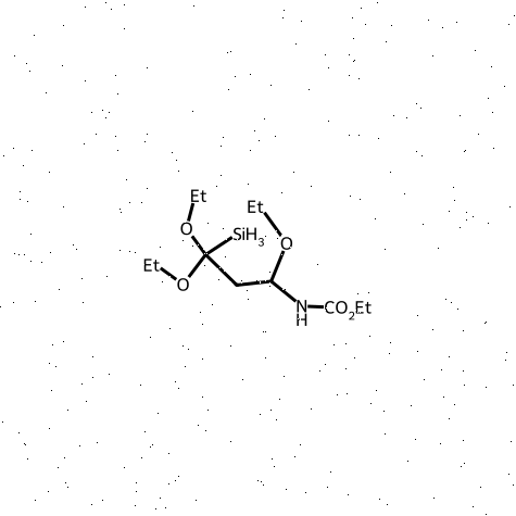 CCOC(=O)NC(CC([SiH3])(OCC)OCC)OCC